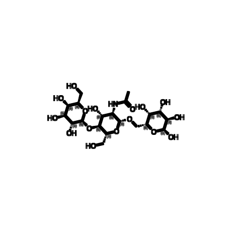 CC(=O)N[C@@H]1[C@H](OC[C@H]2O[C@H](O)[C@H](O)[C@@H](O)[C@H]2O)O[C@H](CO)[C@@H](O[C@@H]2O[C@H](CO)[C@H](O)[C@H](O)[C@H]2O)[C@@H]1O